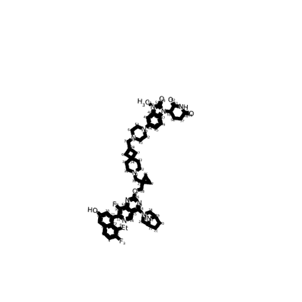 CCc1c(F)ccc2cc(O)cc(-c3ncc4c(N5CC6CCC(C5)N6)nc(OCC5(CN6CCC7(CC6)CC(CN6CCN(c8ccc9c(c8)n(C)c(=O)n9C8CCC(=O)NC8=O)CC6)C7)CC5)nc4c3F)c12